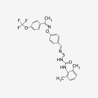 C/C(=N/Oc1ccc(/C=N/SNC(=O)Nc2c(C)cccc2C)cc1)c1ccc(OC(F)(F)F)cc1